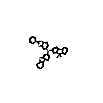 CC1(C)c2ccccc2-c2ccc(N(c3ccc4sc(-c5ccccc5)nc4c3)c3ccc4c(c3)sc3ccccc34)cc21